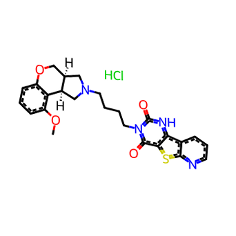 COc1cccc2c1[C@@H]1CN(CCCCn3c(=O)[nH]c4c(sc5ncccc54)c3=O)C[C@@H]1CO2.Cl